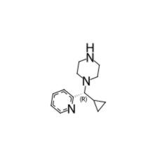 c1ccc([C@@H](C2CC2)N2CCNCC2)nc1